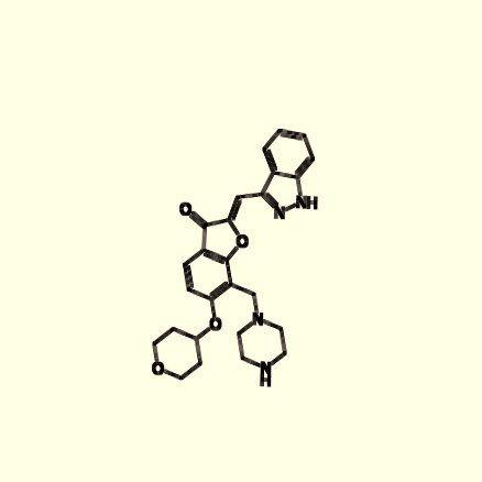 O=C1C(=Cc2n[nH]c3ccccc23)Oc2c1ccc(OC1CCOCC1)c2CN1CCNCC1